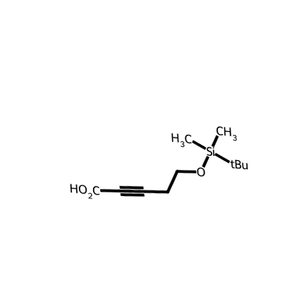 CC(C)(C)[Si](C)(C)OCCC#CC(=O)O